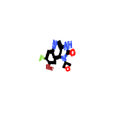 O=c1[nH]c2cnc3cc(F)c(Br)cc3c2n1C1COC1